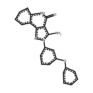 Nc1c2c(=O)[nH]c3ccccc3c2nn1-c1cccc(Oc2ccccc2)c1